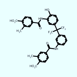 Cc1cc(C(=O)Nc2cccc(C(c3ccc(O)c(NC(=O)c4ccc(C(=O)O)c(C)c4)c3)(C(F)(F)F)C(F)(F)F)c2)ccc1C(=O)O